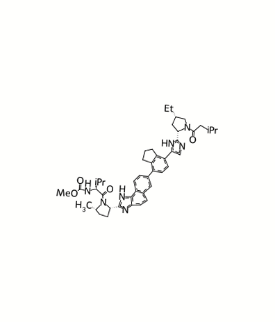 CC[C@H]1C[C@@H](c2ncc(-c3ccc(-c4ccc5c(ccc6nc([C@@H]7CC[C@H](C)N7C(=O)[C@@H](NC(=O)OC)C(C)C)[nH]c65)c4)c4c3CCC4)[nH]2)N(C(=O)CC(C)C)C1